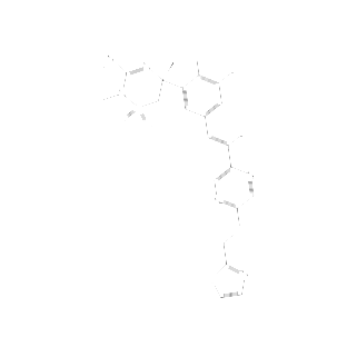 CN1C(N)=N[C@](C)(c2cc(/C=C(\F)c3cnc(OCc4ncco4)cn3)cc(F)c2F)CS1(=O)=O